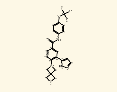 O=C(Nc1ccc(OC(F)(F)Cl)cc1)c1cnc(N2CC3(CNC3)C2)c(-c2ccn[nH]2)c1